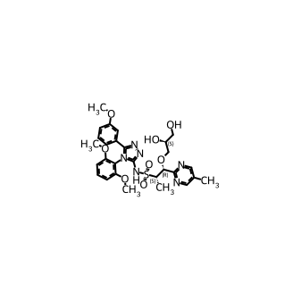 COc1cccc(-c2nnc(NS(=O)(=O)[C@@H](C)[C@H](OC[C@@H](O)CO)c3ncc(C)cn3)n2-c2c(OC)cccc2OC)c1